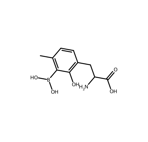 Cc1ccc(CC(N)C(=O)O)c(O)c1B(O)O